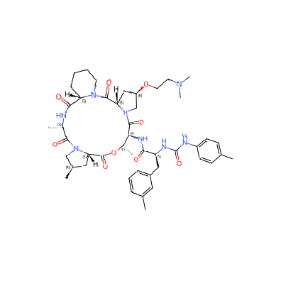 Cc1ccc(NC(=O)N[C@@H](Cc2cccc(C)c2)C(=O)N[C@@H]2C(=O)N3C[C@H](OCCN(C)C)C[C@H]3C(=O)N3CCCC[C@H]3C(=O)N[C@@H](C)C(=O)N3C[C@H](C)C[C@H]3C(=O)O[C@H]2C)cc1